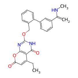 C=C(NC)c1cccc(-c2ccccc2COc2nc3oc(=O)cc(CC)c3c(=O)[nH]2)c1